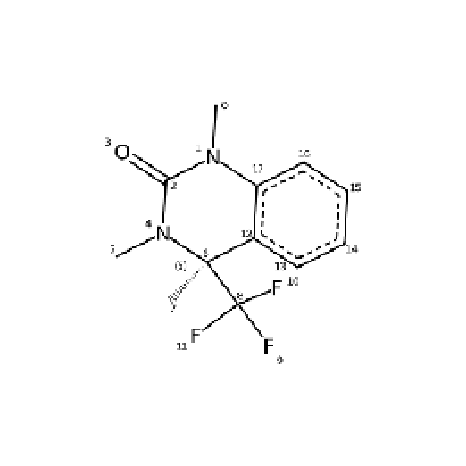 CN1C(=O)N(C)[C@](C)(C(F)(F)F)c2ccccc21